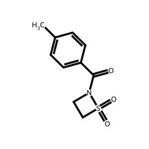 Cc1ccc(C(=O)N2CCS2(=O)=O)cc1